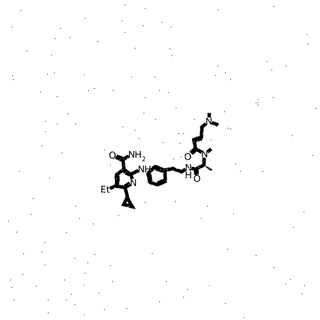 CCc1cc(C(N)=O)c(Nc2cccc(CCNC(=O)[C@H](C)N(C)C(=O)/C=C/CN(C)C)c2)nc1C1CC1